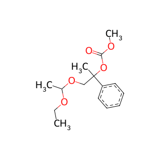 CCOC(C)OCC(C)(OC(=O)OC)c1ccccc1